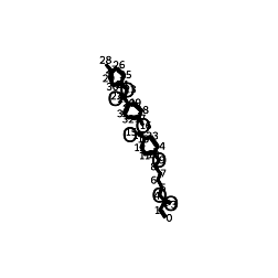 C=CC(=O)OCCCCOC1=CCC(C(=O)Oc2ccc(C(=O)Oc3ccc(C)cc3)cc2)C=C1